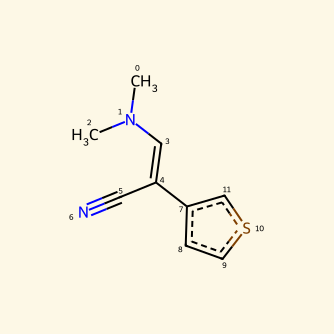 CN(C)C=C(C#N)c1ccsc1